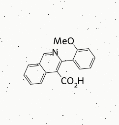 COc1ccccc1-c1ncc2ccccc2c1C(=O)O